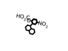 O=C(O)Oc1ccc([N+](=O)[O-])cc1C1CCCC2CCCCC21